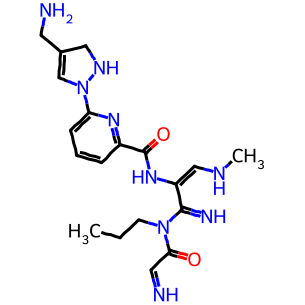 CCCN(C(=N)/C(=C\NC)NC(=O)c1cccc(N2C=C(CN)CN2)n1)C(=O)C=N